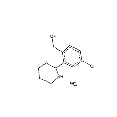 Cl.OCc1ccc(Cl)cc1C1CCCCN1